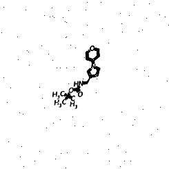 CC(C)(C)OC(=O)NC[C@@H]1CCN(C2CCOCC2)C1